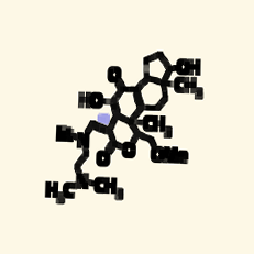 CCN(/C=C1\C(=O)OC(COC)C2(C)C3=C(C(=O)C(O)=C12)C1CCC(O)C1(C)CC3)CCN(C)C